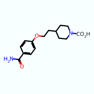 NC(=O)c1ccc(OCCC2CCN(C(=O)O)CC2)cc1